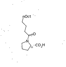 CCCCCCCCCCCC(=O)N1CCC[C@H]1C(=O)O